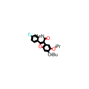 CNC(=O)c1c(-c2ccc(F)cc2)oc2cc(OCC(C)C)c(OC(C)C)cc12